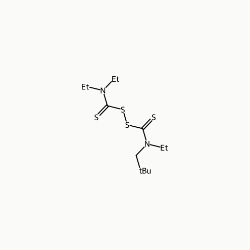 CCN(CC)C(=S)SSC(=S)N(CC)CC(C)(C)C